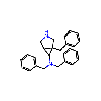 c1ccc(CN(Cc2ccccc2)C2C3CNCC32Cc2ccccc2)cc1